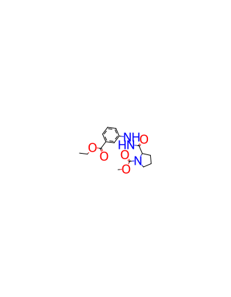 CCOC(=O)c1cccc(NNC(=O)C2CCCN2C(=O)OC)c1